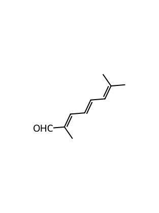 CC(C)=CC=CC=C(C)C=O